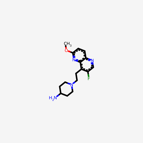 COc1ccc2ncc(F)c(CCN3CCC(N)CC3)c2n1